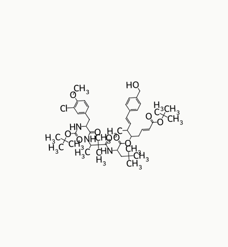 COc1ccc(CC(NC(=O)OC(C)(C)C)C(=O)NC(C)C(C)(C)C(=O)NC(CC(C)(C)C)C(=O)OC(C/C=C/C(=O)OC(C)(C)C)C(C)/C=C/c2ccc(CO)cc2)cc1Cl